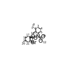 CCc1cccc(N(O)C(=O)OC)c1COc1ccc(C)cc1Br